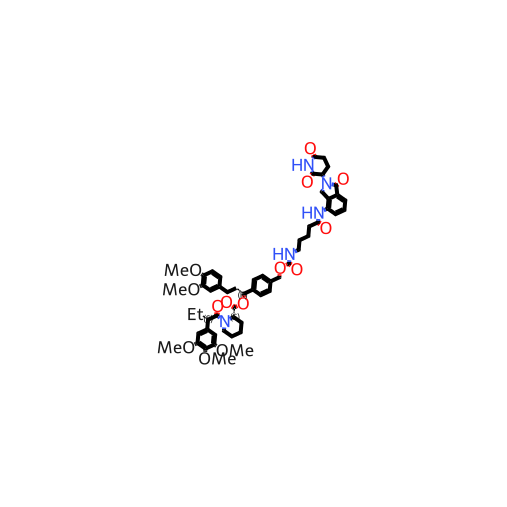 CC[C@H](C(=O)N1CCCC[C@H]1C(=O)O[C@H](CCc1ccc(OC)c(OC)c1)c1ccc(COC(=O)NCCCCC(=O)Nc2cccc3c2CN(C2CCC(=O)NC2=O)C3=O)cc1)c1cc(OC)c(OC)c(OC)c1